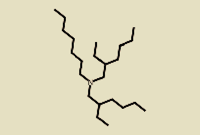 CCCCCCCN(CC(CC)CCCC)CC(CC)CCCC